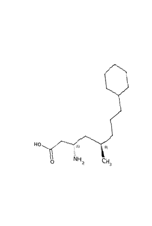 C[C@H](CCCC1CCCCC1)C[C@H](N)CC(=O)O